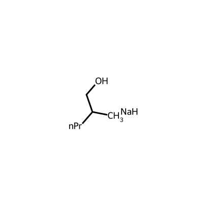 CCCC(C)CO.[NaH]